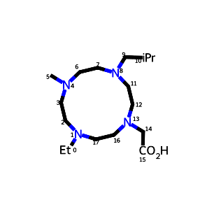 CCN1CCN(C)CCN(CC(C)C)CCN(CC(=O)O)CC1